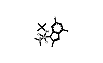 CC1=Cc2c(C)cc(Br)cc2[CH]1[Zr]([Cl])([Cl])([NH]C(C)(C)C)[SiH](C)C